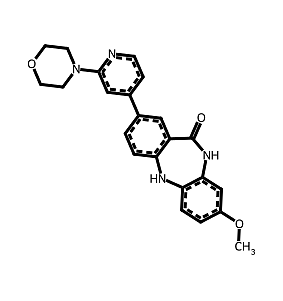 COc1ccc2c(c1)NC(=O)c1cc(-c3ccnc(N4CCOCC4)c3)ccc1N2